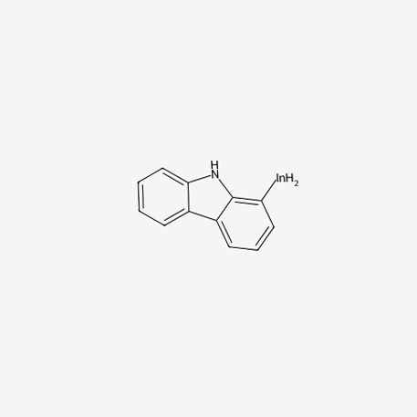 [InH2][c]1cccc2c1[nH]c1ccccc12